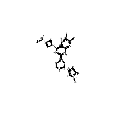 Cc1nc2nc(N3CCO[C@@H](c4cnn(C)c4)C3)nc([C@H]3C[C@@H](C(F)F)C3)c2nc1C